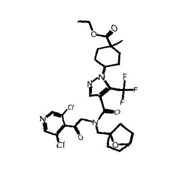 CCOC(=O)C1(C)CCC(n2ncc(C(=O)N(CC(=O)c3c(Cl)cncc3Cl)CC34CCC(CC3)O4)c2C(F)(F)F)CC1